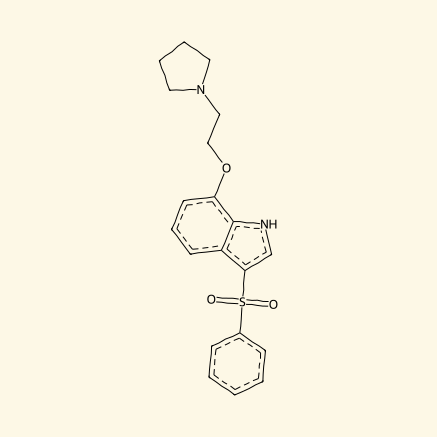 O=S(=O)(c1ccccc1)c1c[nH]c2c(OCCN3CCCC3)cccc12